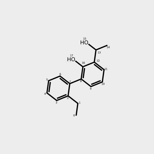 CCc1ccccc1-c1cccc(C(C)O)c1O